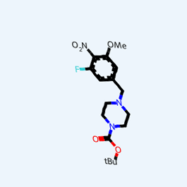 COc1cc(CN2CCN(C(=O)OC(C)(C)C)CC2)cc(F)c1[N+](=O)[O-]